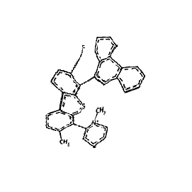 Cc1ccc2c(sc3c(-c4cc5ccccc5c5ccccc45)c(F)ccc32)c1-c1cccc[n+]1C